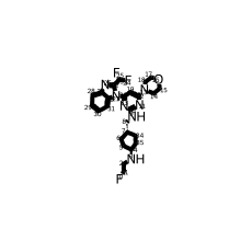 FCCN[C@H]1CC[C@H](CNc2nc(N3CCOCC3)cc(-n3c(C(F)F)nc4ccccc43)n2)CC1